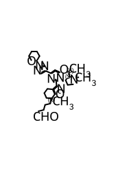 C[C@H](Oc1cc(-c2cnn(C3CCCCO3)n2)nc(-c2noc3c2CCC[C@@]3(C)CCCCC=O)n1)[C@@H]1CCCN1C